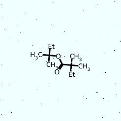 CCC(C)(C)OC(=O)C(C)(C)CC